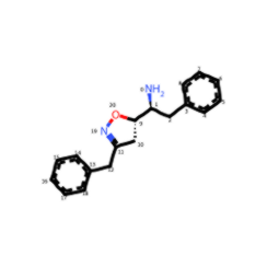 N[C@@H](Cc1ccccc1)[C@@H]1CC(Cc2ccccc2)=NO1